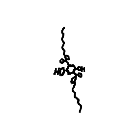 CCCCCCCCOC(=O)c1cc(O)c(C(=O)OCCCCCCCC)cc1O